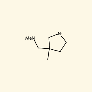 CNCC1(C)CC[N]C1